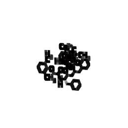 Cc1cccc(C)c1OCC(=O)N[C@@H](Cc1ccccc1)[C@H](C[C@H](Cc1ccccc1)NC(=O)[C@H](C(C)C)N1CCCNC1=O)OCOP(=O)([O-])[O-].[Ca+2]